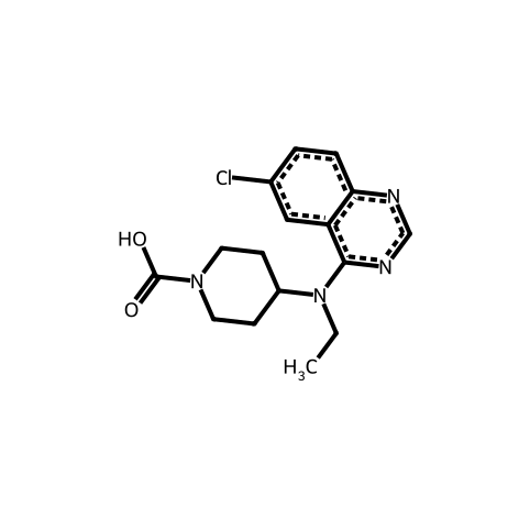 CCN(c1ncnc2ccc(Cl)cc12)C1CCN(C(=O)O)CC1